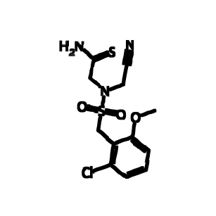 COc1cccc(Cl)c1CS(=O)(=O)N(CC#N)CC(N)=S